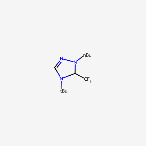 CCCCN1N=CN(C(C)(C)C)C1C(F)(F)F